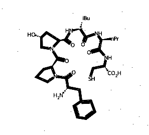 CCC[C@H](NC(=O)[C@@H](NC(=O)[C@@H]1C[C@@H](O)CN1C(=O)[C@@H]1CCCN1C(=O)[C@@H](N)Cc1ccccc1)[C@@H](C)CC)C(=O)N[C@@H](CS)C(=O)O